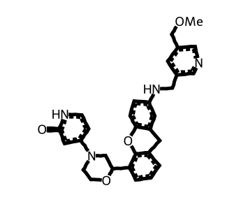 COCc1cncc(CNc2ccc3c(c2)Cc2cccc(C4CN(c5cc[nH]c(=O)c5)CCO4)c2O3)c1